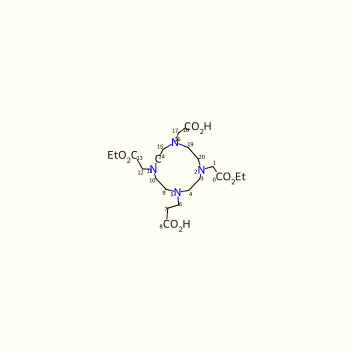 CCOC(=O)CN1CCN(CCC(=O)O)CCN(CC(=O)OCC)CCN(CC(=O)O)CC1